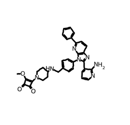 COc1c(N2CCC(NCc3ccc(-n4c(-c5cccnc5N)nc5ccc(-c6ccccc6)nc54)cc3)CC2)c(=O)c1=O